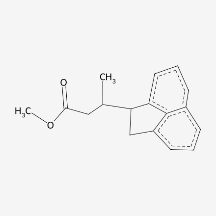 COC(=O)CC(C)C1Cc2cccc3cccc1c23